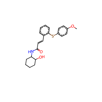 COc1ccc(Sc2ccccc2C=CC(=O)NC2CCCCC2O)cc1